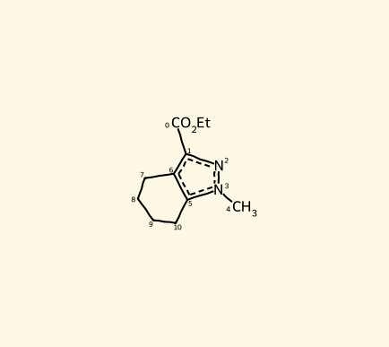 CCOC(=O)c1nn(C)c2c1CCCC2